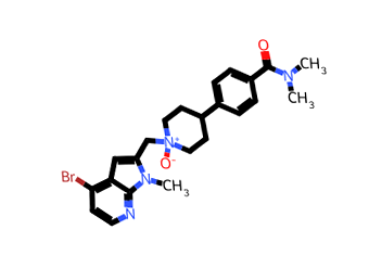 CN(C)C(=O)c1ccc(C2CC[N+]([O-])(Cc3cc4c(Br)ccnc4n3C)CC2)cc1